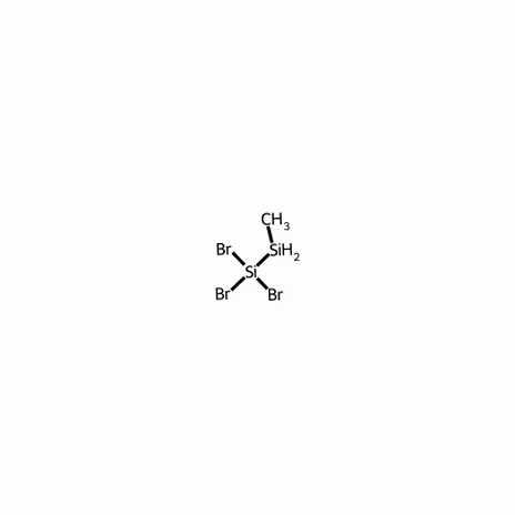 C[SiH2][Si](Br)(Br)Br